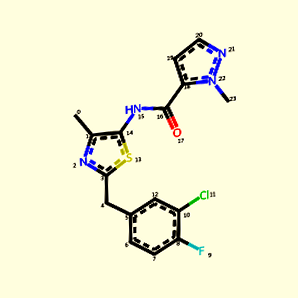 Cc1nc(Cc2ccc(F)c(Cl)c2)sc1NC(=O)c1ccnn1C